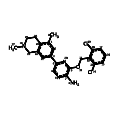 Cc1cc(-c2cnc(N)c(OCc3c(Cl)cccc3Cl)n2)cc2c1CCN(C)C2